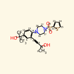 C[C@H](O)C#Cc1cc(C(O)(C(F)(F)F)C(F)(F)F)ccc1N1CCN(S(=O)(=O)c2cccs2)CC1